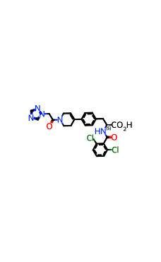 O=C(N[C@@H](Cc1ccc(C2=CCN(C(=O)Cn3cncn3)CC2)cc1)C(=O)O)c1c(Cl)cccc1Cl